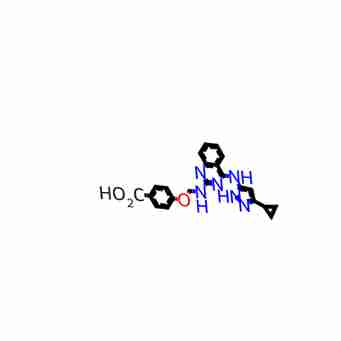 O=C(O)c1ccc(OCNc2nc(Nc3cc(C4CC4)n[nH]3)c3ccccc3n2)cc1